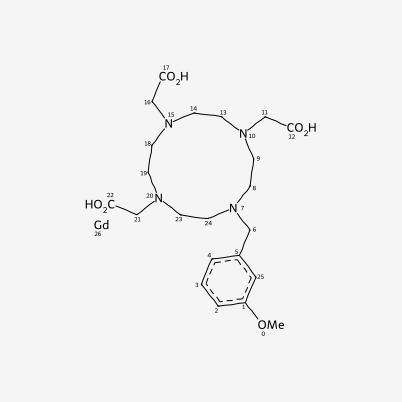 COc1cccc(CN2CCN(CC(=O)O)CCN(CC(=O)O)CCN(CC(=O)O)CC2)c1.[Gd]